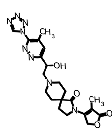 CC1=C(N2CCC3(CCN(CC(O)c4cc(C)c(-n5cnnn5)nn4)CC3)C2=O)COC1=O